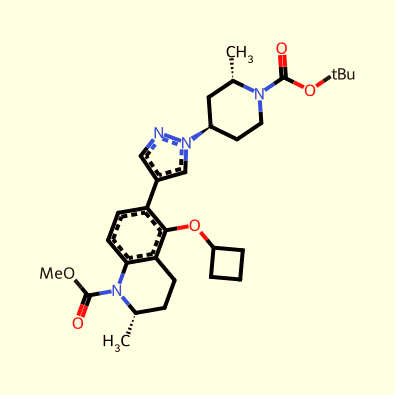 COC(=O)N1c2ccc(-c3cnn([C@@H]4CCN(C(=O)OC(C)(C)C)[C@@H](C)C4)c3)c(OC3CCC3)c2CC[C@@H]1C